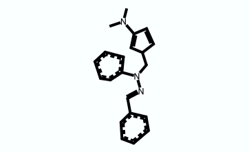 CN(C)C1=CC(CN(N=Cc2ccccc2)c2ccccc2)C=C1